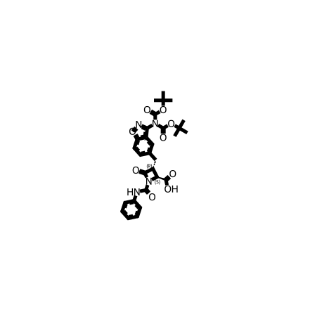 CC(C)(C)OC(=O)N(C(=O)OC(C)(C)C)c1noc2ccc(C[C@H]3C(=O)N(C(=O)Nc4ccccc4)[C@@H]3C(=O)O)cc12